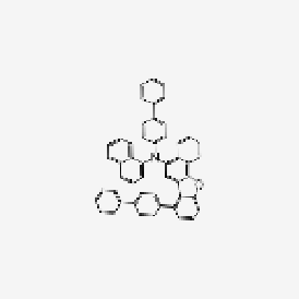 c1ccc(-c2ccc(-c3cccc4oc5c6ccccc6c(N(c6ccc(-c7ccccc7)cc6)c6cccc7ccccc67)cc5c34)cc2)cc1